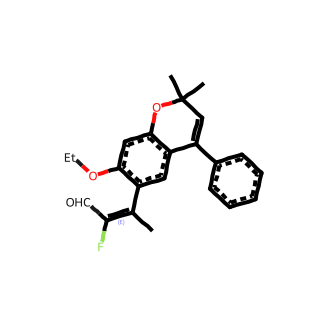 CCOc1cc2c(cc1/C(C)=C(/F)C=O)C(c1ccccc1)=CC(C)(C)O2